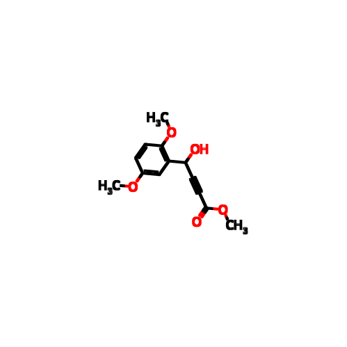 COC(=O)C#CC(O)c1cc(OC)ccc1OC